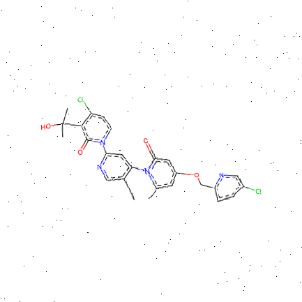 Cc1cnc(-n2ccc(Cl)c(C(C)(C)O)c2=O)cc1-n1c(C)cc(OCc2ccc(Cl)cn2)cc1=O